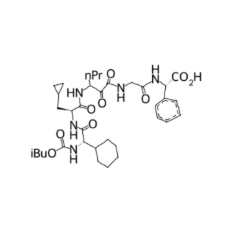 CCCC(NC(=O)[C@H](CC1CC1)NC(=O)[C@@H](NC(=O)OCC(C)C)C1CCCCC1)C(=O)C(=O)NCC(=O)N[C@H](C(=O)O)c1ccccc1